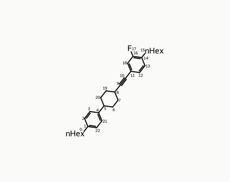 CCCCCCc1ccc(C2CCC(C#Cc3ccc(CCCCCC)c(F)c3)CC2)cc1